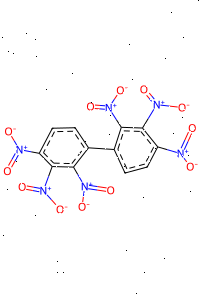 O=[N+]([O-])c1ccc(-c2ccc([N+](=O)[O-])c([N+](=O)[O-])c2[N+](=O)[O-])c([N+](=O)[O-])c1[N+](=O)[O-]